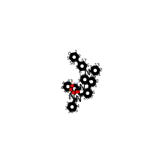 c1ccc(-c2ccc(N(c3ccccc3)c3ccc4c5c(cccc35)-c3cccc(-c5nc(-c6ccccc6)nc(-c6ccccc6)n5)c3N4c3ccccc3)cc2)cc1